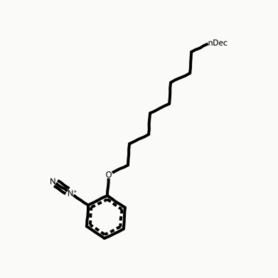 CCCCCCCCCCCCCCCCCCOc1ccccc1[N+]#N